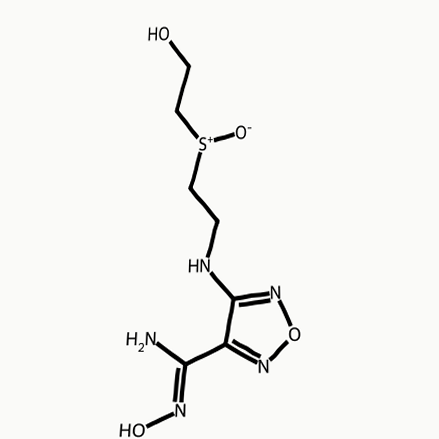 N/C(=N\O)c1nonc1NCC[S+]([O-])CCO